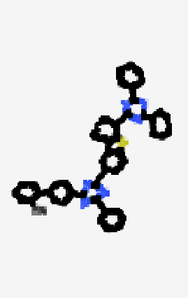 N#Cc1ccccc1-c1ccc(-c2nc(-c3ccccc3)nc(-c3ccc4sc5c(-c6nc(-c7ccccc7)nc(-c7ccccc7)n6)cccc5c4c3)n2)cc1